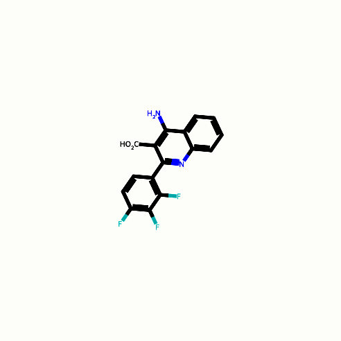 Nc1c(C(=O)O)c(-c2ccc(F)c(F)c2F)nc2ccccc12